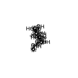 CNCc1c(O)c(-c2c(O)c(CNC)c3nc4c(O)ccc(C(=O)OCNC(=O)c5ccccc5)c4nc3c2O)c(O)c2nc3c(C(=O)O)ccc(O)c3nc12